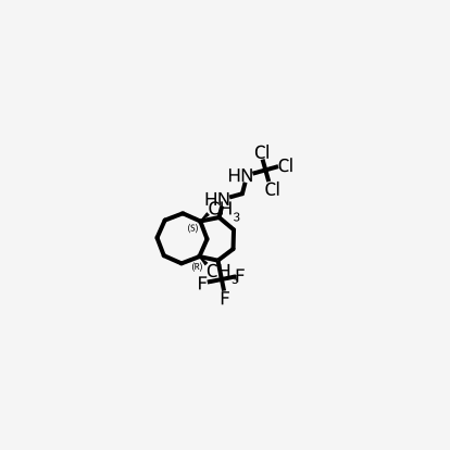 C[C@]12CCCCC[C@](C)(C1)C(C(F)(F)F)CCC2NCNC(Cl)(Cl)Cl